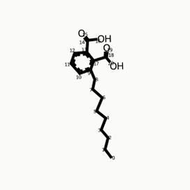 CCCCCCCCCc1cccc(C(=O)O)c1C(=O)O